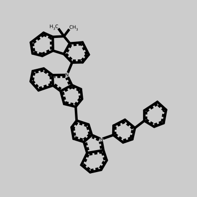 CC1(C)c2ccccc2-c2c(-n3c4ccccc4c4cc(-c5ccc6c7ccccc7n(-c7ccc(-c8ccccc8)cc7)c6c5)ccc43)cccc21